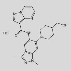 Cc1nn(C)c2cc(N3CCC(CO)CC3)c(NC(=O)c3cnn4cccnc34)cc12.Cl